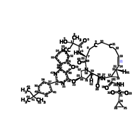 CC(C)(O)C(=O)N[C@H]1CCCCC/C=C\[C@@H]2C[C@@]2(C(=O)NS(=O)(=O)C2CC2)NC(=O)[C@@H]2C[C@@H](Oc3nc(-c4ccc(C(C)(C)C)cc4)nc4c3oc3ccccc34)CN2C1=O